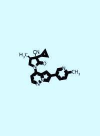 Cc1ccc(-c2cc3c(N4C[C@@H](C)[C@@](C#N)(C5CC5)C4=O)ccnn3c2)cn1